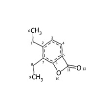 CCc1ccc2c(c1CC)OC2=O